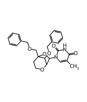 Cc1cn(C2OC3(COCc4ccccc4)CCOC2C3OCc2ccccc2)c(=O)[nH]c1=O